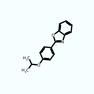 CC(C)Oc1ccc(-c2nc3ccccc3o2)cc1